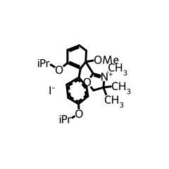 COC1(C2=[N+](C)C(C)(C)CO2)CC=CC(OC(C)C)=C1c1ccc(OC(C)C)cc1.[I-]